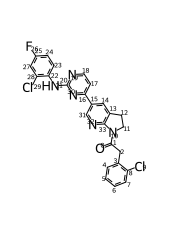 O=C(Cc1ccccc1Cl)N1CCc2cc(-c3ccnc(Nc4ccc(F)cc4Cl)n3)cnc21